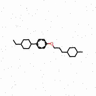 CCC1CCC(c2ccc(OCCCC3CCC(C)CC3)cc2)CC1